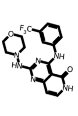 O=c1[nH]ccc2nc(NN3CCOCC3)nc(Nc3cccc(C(F)(F)F)c3)c12